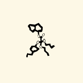 CCCCOC(OCCCC)(Oc1ccc(CCC)cc1)C(=O)Oc1cccc2ccccc12